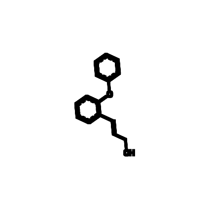 OCC=Cc1ccccc1Oc1ccccc1